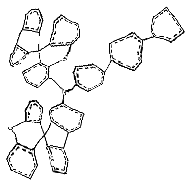 c1ccc(-c2ccc(-c3ccc(N(c4ccc5c(c4)C4(c6ccccc6Oc6ccccc64)c4ccccc4-5)c4cccc5c4Sc4ccccc4C54c5ccccc5-c5ccccc54)cc3)cc2)cc1